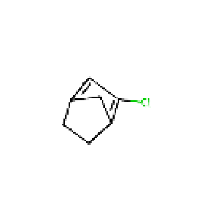 ClC1=C2CCC(=C1)C2